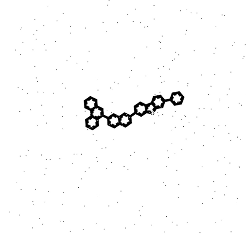 c1ccc(-c2ccc3c(c2)oc2cc(-c4ccc5ccc(-c6cc7ccccc7c7ccccc67)cc5c4)ccc23)cc1